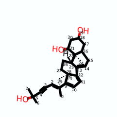 CC(=CC#CC(C)(C)O)C1=CC=C2C3=CCC4CC(O)CC(O)[C@]4(C)[C@H]3CC[C@]12C